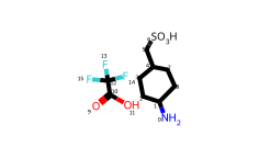 NC1CCC(CS(=O)(=O)O)CC1.O=C(O)C(F)(F)F